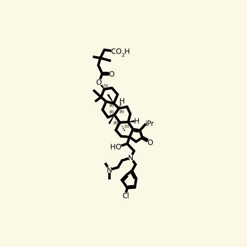 CC(C)C1=C2[C@H]3CC[C@@H]4[C@@]5(C)CC[C@H](OC(=O)CC(C)(C)CC(=O)O)C(C)(C)C5CC[C@@]4(C)[C@]3(C)CCC2(C(O)CN(CCN(C)C)Cc2ccc(Cl)cc2)CC1=O